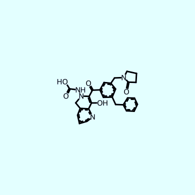 O=C(O)NN1Cc2cccnc2C(O)=C1C(=O)c1cc(Cc2ccccc2)cc(CN2CCCC2=O)c1